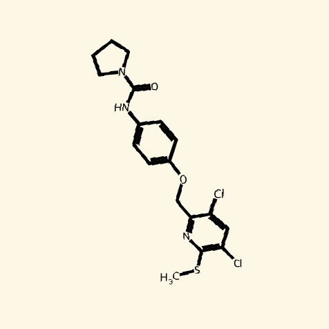 CSc1nc(COc2ccc(NC(=O)N3CCCC3)cc2)c(Cl)cc1Cl